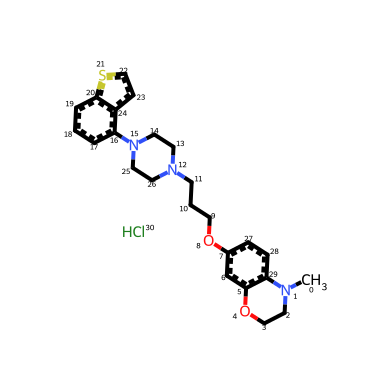 CN1CCOc2cc(OCCCN3CCN(c4cccc5sccc45)CC3)ccc21.Cl